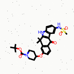 CC(C)(C)OC(=O)N1CCC(Oc2ccc3c(c2)C(C)(C)c2[nH]c4ccc(NS(C)(=O)=O)cc4c2C3=O)CC1